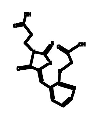 O=C(O)CCN1C(=O)C(=Cc2ccccc2OCC(=O)O)SC1=S